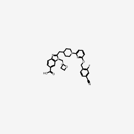 N#Cc1ccc(COc2cccc(N3CCC(Cc4nc5ccc(C(=O)O)cc5n4C[C@@H]4CCO4)CC3)n2)c(F)c1